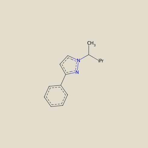 CC(C)C(C)n1ccc(-c2ccccc2)n1